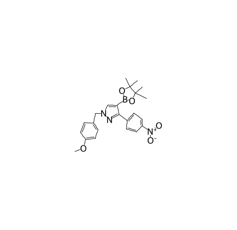 COc1ccc(Cn2cc(B3OC(C)(C)C(C)(C)O3)c(-c3ccc([N+](=O)[O-])cc3)n2)cc1